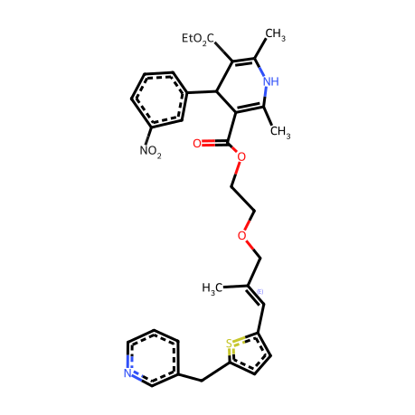 CCOC(=O)C1=C(C)NC(C)=C(C(=O)OCCOC/C(C)=C/c2ccc(Cc3cccnc3)s2)C1c1cccc([N+](=O)[O-])c1